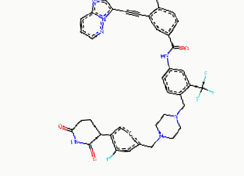 Cc1ccc(C(=O)Nc2ccc(CN3CCN(Cc4ccc(C5CCC(=O)NC5=O)c(F)c4)CC3)c(C(F)(F)F)c2)cc1C#Cc1cnc2cccnn12